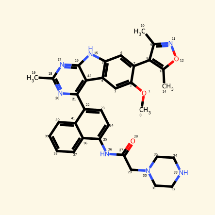 COc1cc2c(cc1-c1c(C)noc1C)[nH]c1nc(C)nc(-c3ccc(NC(=O)CN4CCNCC4)c4ccccc34)c12